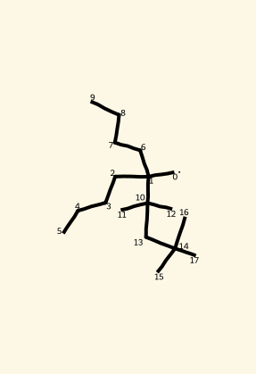 [CH2]C(CCCC)(CCCC)C(C)(C)CC(C)(C)C